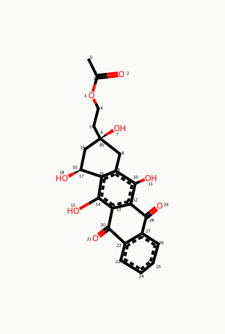 CC(=O)OCC[C@]1(O)Cc2c(O)c3c(c(O)c2[C@@H](O)C1)C(=O)c1ccccc1C3=O